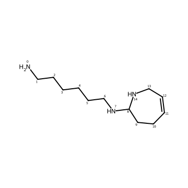 NCCCCCCNC1CCC=CCN1